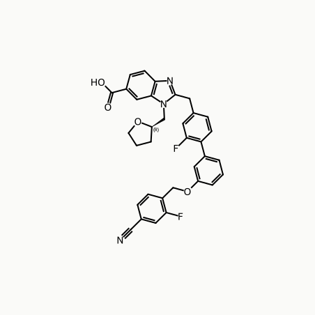 N#Cc1ccc(COc2cccc(-c3ccc(Cc4nc5ccc(C(=O)O)cc5n4C[C@H]4CCCO4)cc3F)c2)c(F)c1